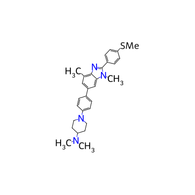 CSc1ccc(-c2nc3c(C)cc(-c4ccc(N5CCC(N(C)C)CC5)cc4)cc3n2C)cc1